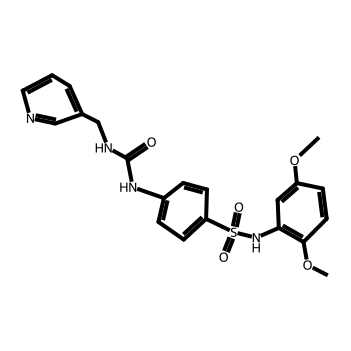 COc1ccc(OC)c(NS(=O)(=O)c2ccc(NC(=O)NCc3cccnc3)cc2)c1